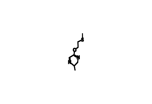 CSCCOC1=NCC(C)N=C1